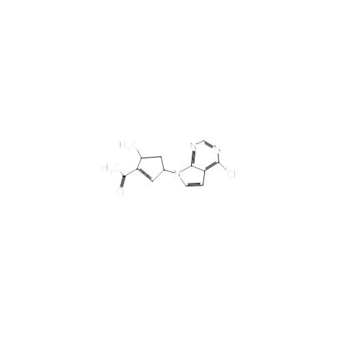 CC(=O)C1=CC(n2ccc3c(Cl)ncnc32)CC1C